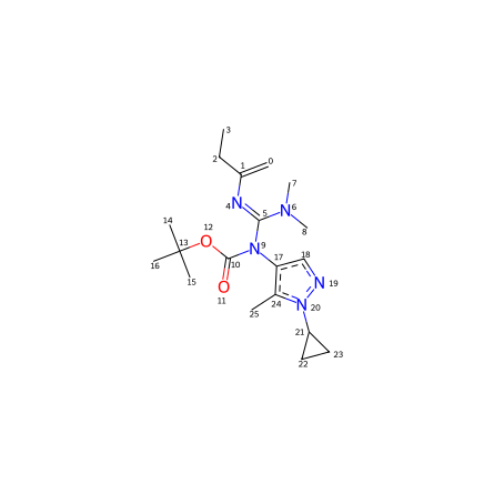 C=C(CC)/N=C(\N(C)C)N(C(=O)OC(C)(C)C)c1cnn(C2CC2)c1C